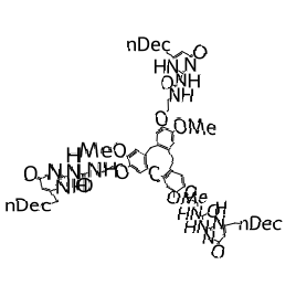 CCCCCCCCCCCc1cc(=O)nc(NC(=O)NCCOc2cc3c(cc2OC)Cc2cc(OCCNC(=O)Nc4nc(=O)cc(CCCCCCCCCCC)[nH]4)c(OC)cc2Cc2cc(OCCNC(=O)Nc4nc(=O)cc(CCCCCCCCCCC)[nH]4)c(OC)cc2C3)[nH]1